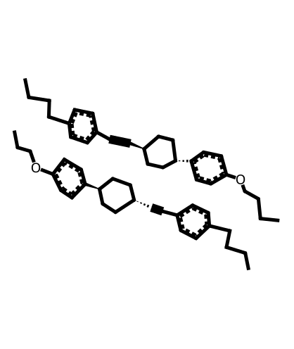 CCCCOc1ccc([C@H]2CC[C@H](C#Cc3ccc(CCCC)cc3)CC2)cc1.CCCCc1ccc(C#C[C@H]2CC[C@H](c3ccc(OCCC)cc3)CC2)cc1